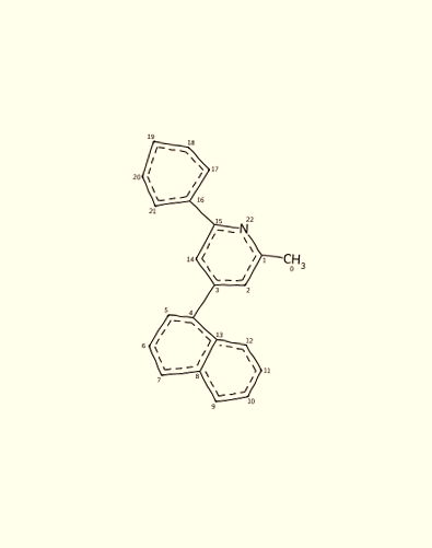 Cc1cc(-c2cccc3ccccc23)cc(-c2ccccc2)n1